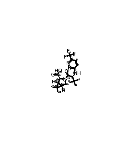 CC(C)(C)[C@H](Nc1ccc(C(F)(F)F)nn1)C(=O)N1C[C@H]2[C@@H]([C@H]1C(=O)O)C2(C)C